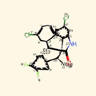 CC[C@@H](C1C=CC=C(Cl)C1)[C@@]1([C@@H](NC)c2ccc(F)c(F)c2)C(=O)Nc2cc(Cl)ccc21